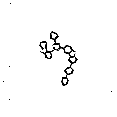 c1ccc(-c2ccc(-c3ccc4oc5ccc(-c6nc(-c7ccccc7)nc(-c7cccc8oc9ccccc9c78)n6)cc5c4c3)cc2)cc1